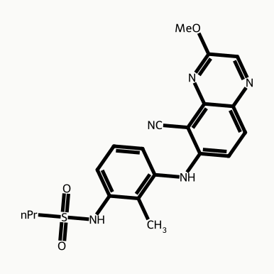 CCCS(=O)(=O)Nc1cccc(Nc2ccc3ncc(OC)nc3c2C#N)c1C